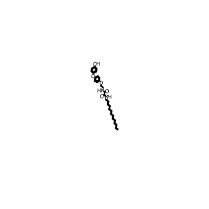 CCCCCCCCCCCCCCNC(=O)C(=O)NCCOc1ccc(Oc2ccc(O)cc2)cc1